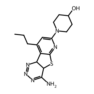 CCCc1cc(N2CCC(O)CC2)nc2c1C1N=NN=C(N)C1S2